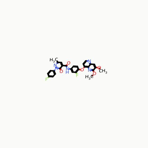 COc1cc2nccc(Oc3ccc(NC(=O)c4cc(C)nn(-c5ccc(F)cc5)c4=O)cc3F)c2nc1OC